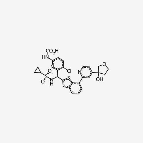 O=C(O)Nc1ccc(Cl)c(C(NS(=O)(=O)C2CC2)c2cc3cccc(-c4cc(C5(O)CCOC5)ccn4)c3s2)n1